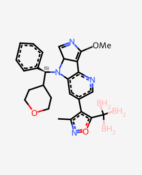 BC(B)(B)c1onc(C)c1-c1cnc2c(c1)N([C@H](c1ccccc1)C1CCOCC1)C1C=NC(OC)=C21